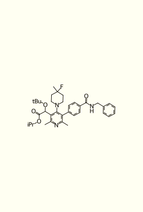 Cc1nc(C)c(C(OC(C)(C)C)C(=O)OC(C)C)c(N2CCC(C)(F)CC2)c1-c1ccc(C(=O)NCc2ccccc2)cc1